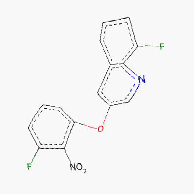 O=[N+]([O-])c1c(F)cccc1Oc1cnc2c(F)cccc2c1